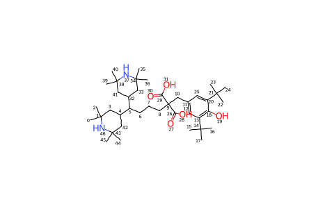 CC1(C)CC(C(CCCC(Cc2cc(C(C)(C)C)c(O)c(C(C)(C)C)c2)(C(=O)O)C(=O)O)C2CC(C)(C)NC(C)(C)C2)CC(C)(C)N1